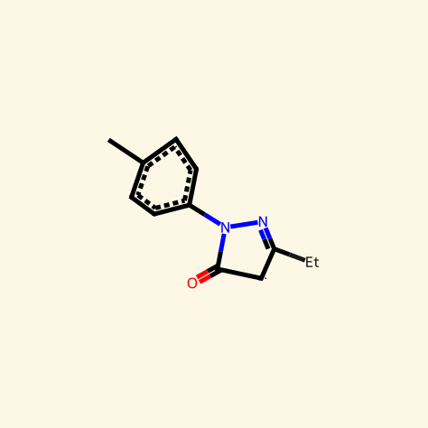 CCC1=NN(c2ccc(C)cc2)C(=O)[CH]1